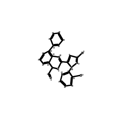 O=CC1OC(c2cc(Br)nn2-c2ncccc2Cl)=Nc2c(-c3ccccc3)cccc21